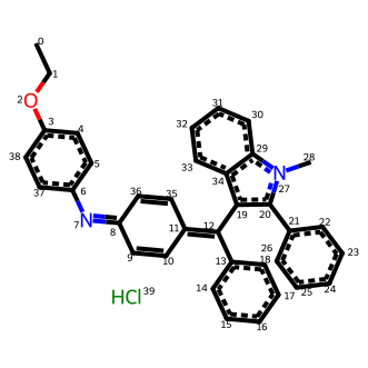 CCOc1ccc(N=C2C=CC(=C(c3ccccc3)c3c(-c4ccccc4)n(C)c4ccccc34)C=C2)cc1.Cl